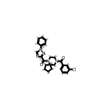 O=C(c1cccc(Cl)c1)N1CCN(C(=O)c2ncn(-c3ccccc3)n2)C2(CCCC2)C1